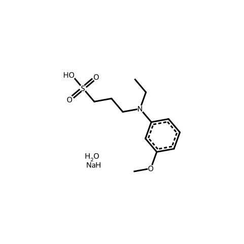 CCN(CCCS(=O)(=O)O)c1cccc(OC)c1.O.[NaH]